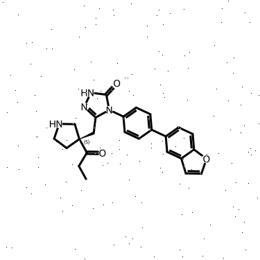 CCC(=O)[C@]1(Cc2n[nH]c(=O)n2-c2ccc(-c3ccc4occc4c3)cc2)CCNC1